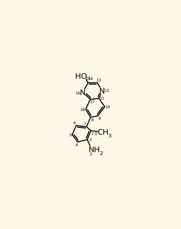 Cc1c(N)cccc1-c1ccc2ncc(O)nc2c1